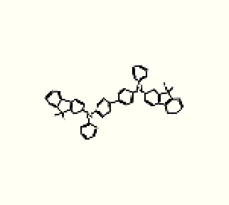 CC1(C)C2=C(CCC=C2)C2=C1CC(N(c1ccccc1)c1ccc(-c3ccc(N(c4ccccc4)C4C=CC5=C(C4)C(C)(C)c4ccccc45)cc3)cc1)C=C2